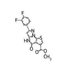 COC(=O)c1csc2c1c(=O)[nH]c1cc(-c3ccc(F)c(F)c3)nn12